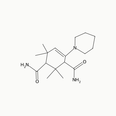 CC1(C)C=C(N2CCCCC2)C(C(N)=O)C(C)(C)C1C(N)=O